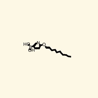 CCCCCCCCC=COc1ccc(B(O)O)cn1